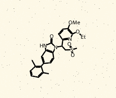 CCOc1nc(C(CS(C)(=O)=O)n2c(=O)[nH]c3cc(-c4c(C)cccc4C)ccc32)ccc1OC